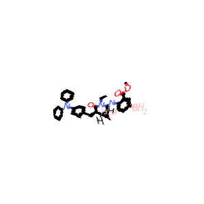 Bc1cc(B)c(N=C2[C@H]3C[C@H]3/C(=C/c3ccc(N(c4ccccc4)c4ccccc4)cc3)C(=O)N2CC)c(C(=O)OC)c1